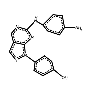 Nc1ccc(Nc2ncc3cnn(-c4ccc(O)cc4)c3n2)cc1